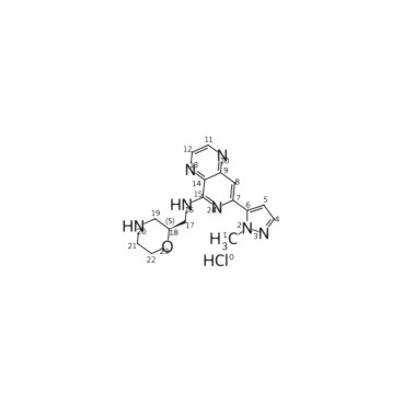 Cl.Cn1nccc1-c1cc2nccnc2c(NC[C@@H]2CNCCO2)n1